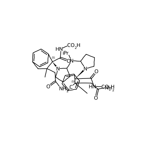 CC(C)N(C1CCCN1[C@]1(C(=O)NC(=O)O)c2ccc(cc2)CC1(C)CC(N)=O)C1CCCN1[C@]1(C(=O)NC(=O)O)c2ccc(cc2)CC1(C)CC(N)=O